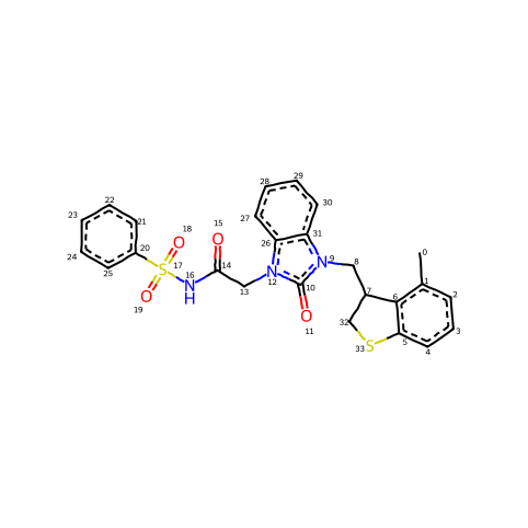 Cc1cccc2c1C(Cn1c(=O)n(CC(=O)NS(=O)(=O)c3ccccc3)c3ccccc31)CS2